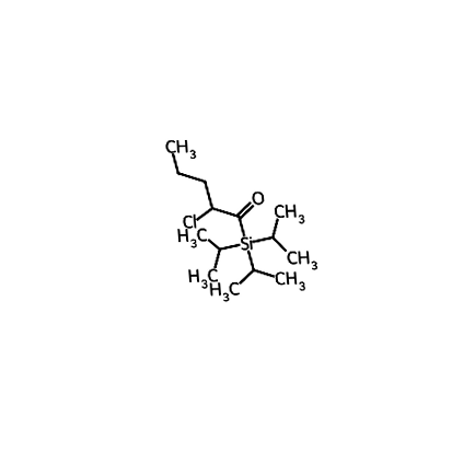 CCCC(Cl)C(=O)[Si](C(C)C)(C(C)C)C(C)C